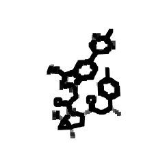 CC(=O)c1nn(CC(=O)N2[C@H](C(=O)C[C@@H](C)c3ccc(C)cc3)C[C@@]3(C)C[C@@H]23)c2ccc(-c3cnc(C)nc3)cc12